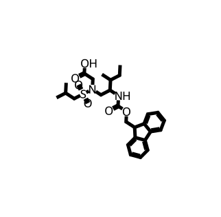 CCC(C)C(CN(CC(=O)O)S(=O)(=O)CC(C)C)NC(=O)OCC1c2ccccc2-c2ccccc21